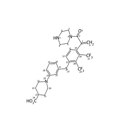 C=C(C(=O)N1CCNCC1)c1ccc(Sc2cccc(N3CCC(C(=O)O)CC3)c2)c(C(F)(F)F)c1C(F)(F)F